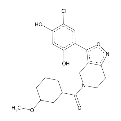 COC1CCCC(C(=O)N2CCc3noc(-c4cc(Cl)c(O)cc4O)c3C2)C1